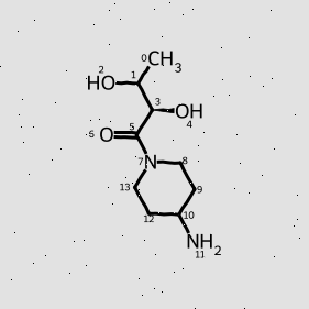 CC(O)[C@@H](O)C(=O)N1CCC(N)CC1